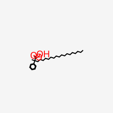 CCCCCCCCCCCCCCCCCCC(C)(C(=O)OO)c1ccccc1